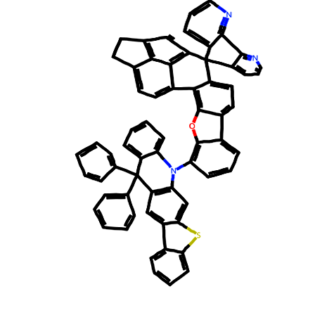 c1ccc(C2(c3ccccc3)c3ccccc3N(c3cccc4c3oc3c5c(ccc34)C3(c4cccnc4-c4ncccc43)c3ccc4c6c(ccc-5c36)CC4)c3cc4sc5ccccc5c4cc32)cc1